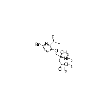 CC(C)C[C@@](C)(N)COc1ccc(Br)nc1C(F)F